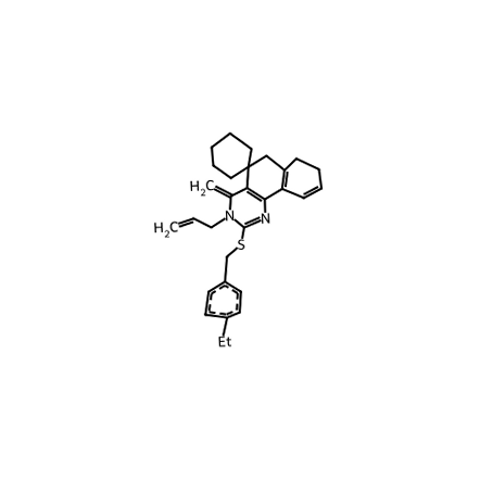 C=CCN1C(=C)C2=C(N=C1SCc1ccc(CC)cc1)C1=C(CCC=C1)CC21CCCCC1